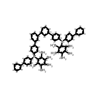 Bc1c(B)c(B)c(N(c2ccc(-c3ccccc3)cc2)c2ccc(-c3cccc(-c4cccc(-c5ccc(N(c6ccc(-c7ccccc7)cc6)c6c(B)c(B)c(B)c(B)c6B)cc5)c4)c3)cc2)c(B)c1B